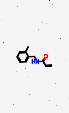 C=CC(=O)NCc1ccccc1C